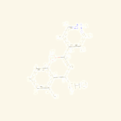 Cc1cccc2c1C(C=O)C=C(c1ccncc1)O2